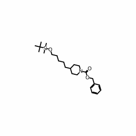 CC(C)(C)[Si](C)(C)OCCCCCC1CCN(C(=O)OCc2ccccc2)CC1